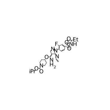 C=C/N=C1\C(=C(/N)OC2CCN(C(=O)OC(C)C)CC2)C=NN1c1ccc(S(=O)(=O)NC(=O)CC)cc1F